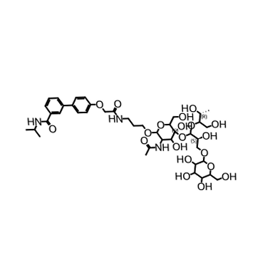 CC(=O)NC1C(OCCCNC(=O)COc2ccc(-c3cccc(C(=O)NC(C)C)c3)cc2)OC(CO)[C@@](O)(OC(OC(CO)[C@@H](C)O)[C@@H](O)COC2OC(CO)C(O)C(O)C2O)C1O